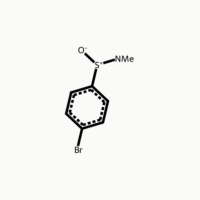 CN[S+]([O-])c1ccc(Br)cc1